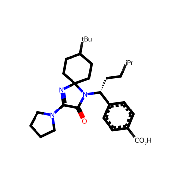 CC(C)CC[C@H](c1ccc(C(=O)O)cc1)N1C(=O)C(N2CCCC2)=NC12CCC(C(C)(C)C)CC2